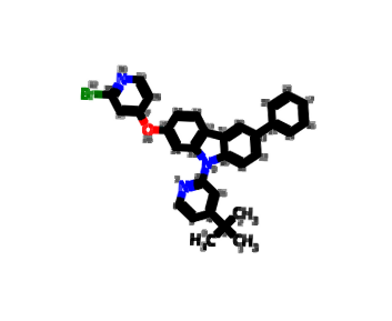 CC(C)(C)c1ccnc(-n2c3ccc(-c4ccccc4)cc3c3ccc(Oc4ccnc(Br)c4)cc32)c1